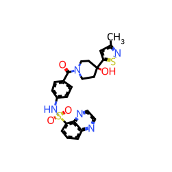 Cc1cc(C2(O)CCN(C(=O)c3ccc(NS(=O)(=O)c4cccc5nccnc45)cc3)CC2)sn1